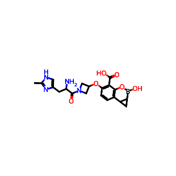 Cc1nc(CC(N)C(=O)N2CC(Oc3ccc4c(c3C(=O)O)OB(O)C3CC43)C2)c[nH]1